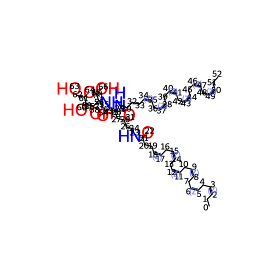 CC/C=C\C/C=C\C/C=C\C/C=C\C/C=C\C/C=C\CCC(=O)NCCCC[C@H](NC(=O)CC/C=C\C/C=C\C/C=C\C/C=C\C/C=C\C/C=C\CC)C(=O)NC1C(O)[C@H](O)C(CO)O[C@H]1O